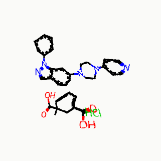 CC1(C(=O)O)C=CC=C(C(=O)O)C1.Cl.c1ccc(-n2ncc3ccc(N4CCN(c5ccncc5)CC4)cc32)cc1